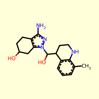 Cc1cccc2c1NCCC2C(O)n1nc(N)c2c1CC(O)CC2